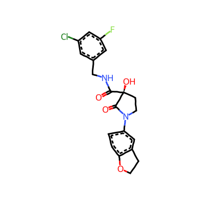 O=C(NCc1cc(F)cc(Cl)c1)[C@]1(O)CCN(c2ccc3c(c2)CCO3)C1=O